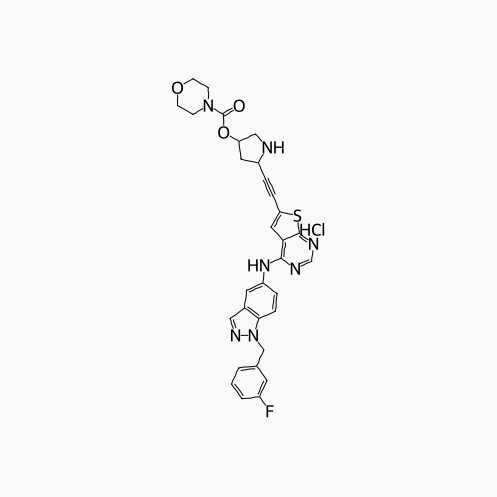 Cl.O=C(OC1CNC(C#Cc2cc3c(Nc4ccc5c(cnn5Cc5cccc(F)c5)c4)ncnc3s2)C1)N1CCOCC1